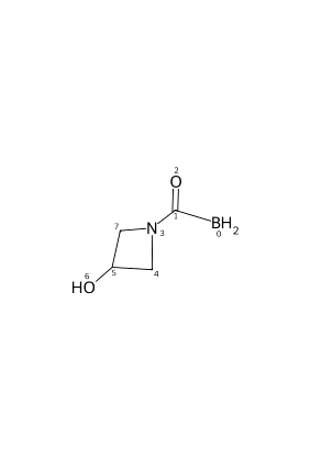 BC(=O)N1CC(O)C1